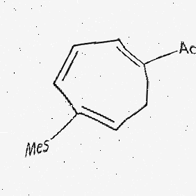 CSC1=CCC(C(C)=O)=CC=C1